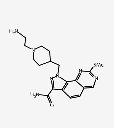 CSc1ncc2ccc3c(C(N)=O)nn(CC4CCN(CCN)CC4)c3c2n1